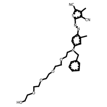 Cc1cc(N(CCOCCOCCOCCOCCO)Cc2ccccc2)ccc1/N=N/c1sc(C#N)c(C)c1C#N